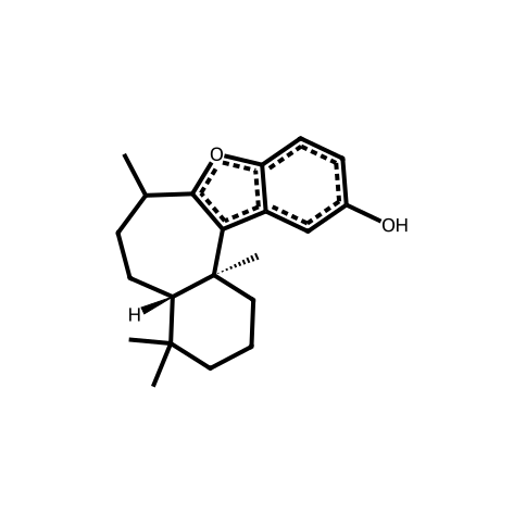 CC1CC[C@H]2C(C)(C)CCC[C@]2(C)c2c1oc1ccc(O)cc21